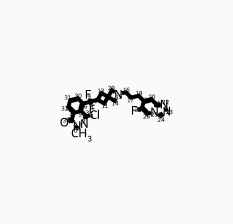 Cn1nc(Cl)c2c(C(F)(F)C3CC4(C3)CN(CCCc3cc5nncn5cc3F)C4)cccc2c1=O